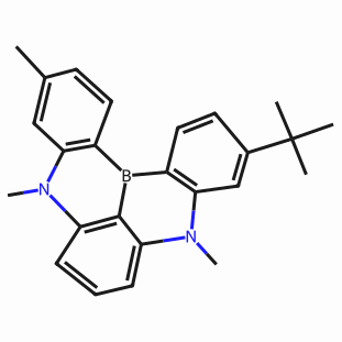 Cc1ccc2c(c1)N(C)c1cccc3c1B2c1ccc(C(C)(C)C)cc1N3C